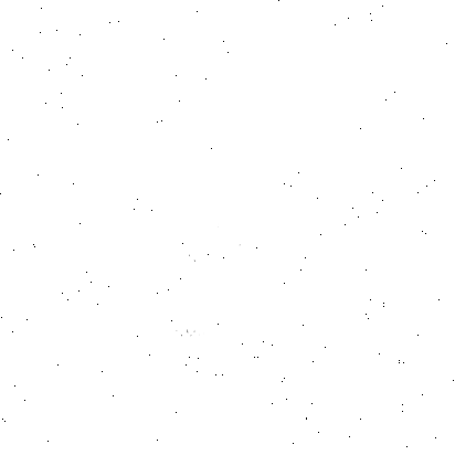 CNC1CCN(C[C@H](c2cccc(OC(F)(F)F)c2)C2(O)CCCCC2)CC1